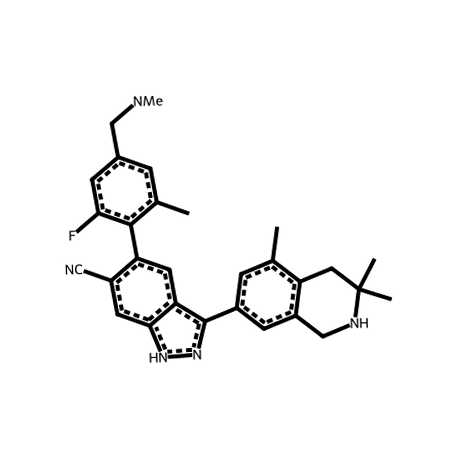 CNCc1cc(C)c(-c2cc3c(-c4cc(C)c5c(c4)CNC(C)(C)C5)n[nH]c3cc2C#N)c(F)c1